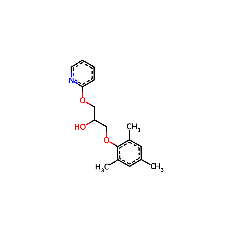 Cc1cc(C)c(OCC(O)COc2ccccn2)c(C)c1